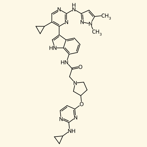 Cc1cc(Nc2ncc(C3CC3)c(-c3c[nH]c4c(NC(=O)CN5CCC(Oc6ccnc(NC7CC7)n6)C5)cccc34)n2)nn1C